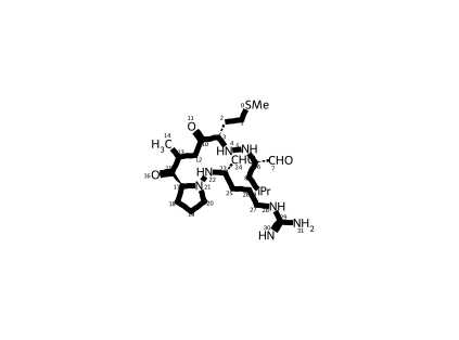 CSCC[C@H](NN[C@H](C=O)CC(C)C)C(=O)CC(C)C(=O)[C@@H]1CCCN1N[C@H](C=O)CCCNC(=N)N